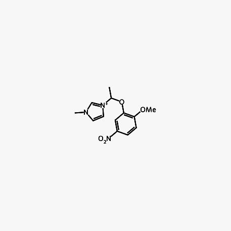 COc1ccc([N+](=O)[O-])cc1OC(C)[n+]1ccn(C)c1